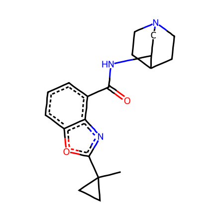 CC1(c2nc3c(C(=O)NC4CN5CCC4CC5)cccc3o2)CC1